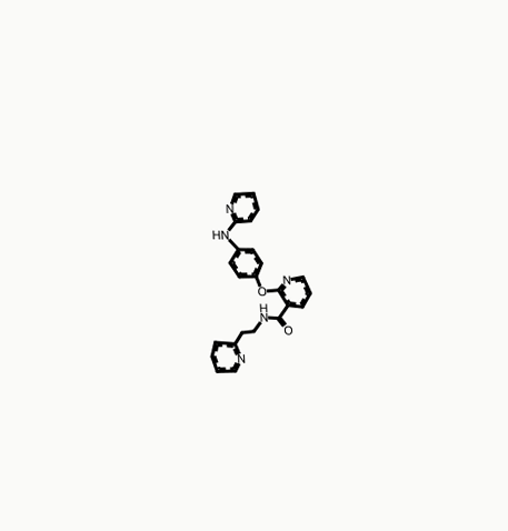 O=C(NCCc1ccccn1)c1cccnc1Oc1ccc(Nc2ccccn2)cc1